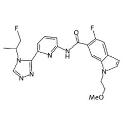 COCCn1ccc2cc(F)c(C(=O)Nc3cccc(-c4nncn4C(C)CF)n3)cc21